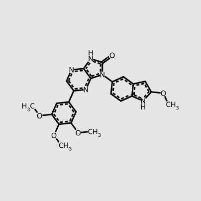 COc1cc2cc(-n3c(=O)[nH]c4ncc(-c5cc(OC)c(OC)c(OC)c5)nc43)ccc2[nH]1